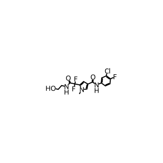 Cn1cc(C(=O)Nc2ccc(F)c(Cl)c2)cc1C(F)(F)C(=O)NCCO